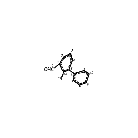 O=Cc1cccc(-c2ccccc2)c1I